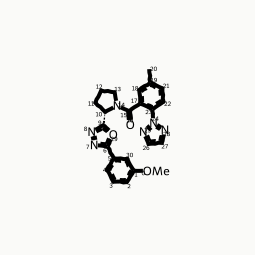 COc1cccc(-c2nnc([C@@H]3CCCN3C(=O)c3cc(C)ccc3-n3nccn3)o2)c1